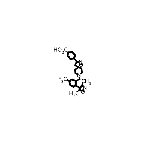 Cc1noc(C)c1-c1ccc(C(F)(F)F)cc1CN1CCC2(CC1)CC(c1ccc(C(=O)O)cc1)=NO2